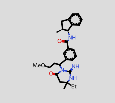 CCC1(C)CC(=O)N(C(CCOC)c2cccc(C(=O)N[C@@H]3c4ccccc4C[C@@H]3C)c2)C(=N)N1